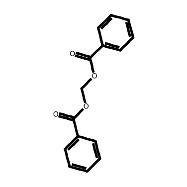 O=C(OCOC(=O)c1ccccc1)c1ccccc1